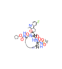 Cc1nc2ccc(F)cc2c2c1O[C@]1(CC2)C[C@H]2C(=O)N[C@]3(C(=O)NS(=O)(=O)C4(C)CC4)C[C@H]3/C=C\CCCCC[C@H](NC(=O)OC3CCCC3)C(=O)N2C1